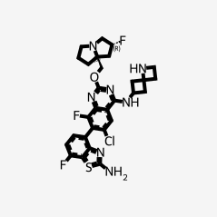 Nc1nc2c(-c3c(Cl)cc4c(NC5CC6(CCN6)C5)nc(OC[C@@]56CCCN5C[C@H](F)C6)nc4c3F)ccc(F)c2s1